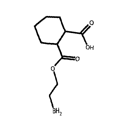 BCCOC(=O)C1CCCCC1C(=O)O